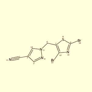 N#Cc1cnn(Cc2sc(Br)nc2Br)c1